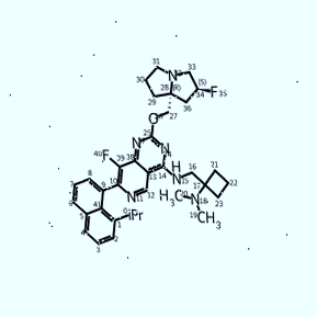 CC(C)c1cccc2cccc(-c3ncc4c(NCC5(N(C)C)CCC5)nc(OC[C@]56CCCN5C[C@@H](F)C6)nc4c3F)c12